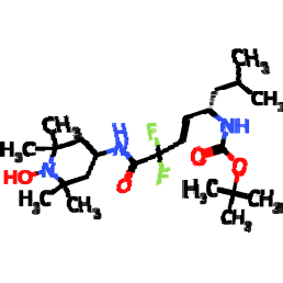 CC(C)C[C@@H](/C=C/C(F)(F)C(=O)NC1CC(C)(C)N(O)C(C)(C)C1)NC(=O)OC(C)(C)C